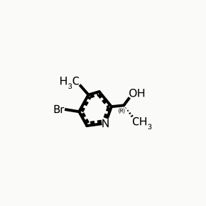 Cc1cc([C@@H](C)O)ncc1Br